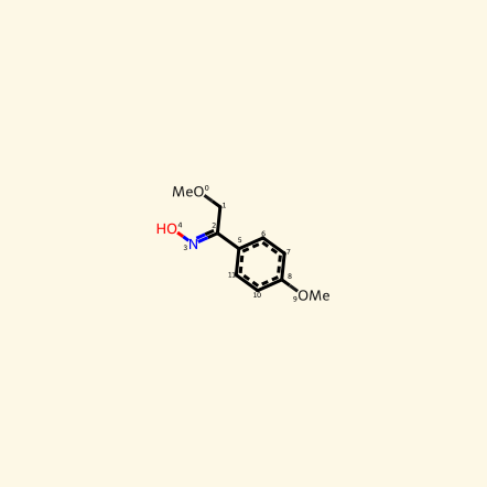 COCC(=NO)c1ccc(OC)cc1